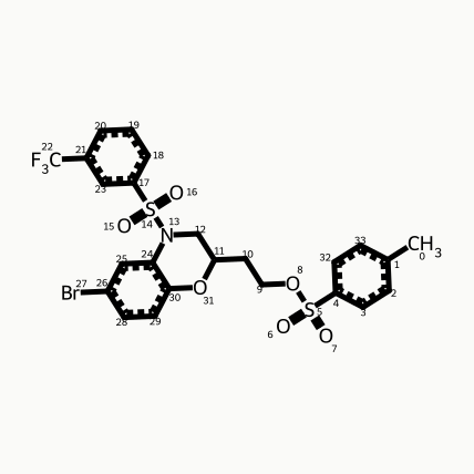 Cc1ccc(S(=O)(=O)OCCC2CN(S(=O)(=O)c3cccc(C(F)(F)F)c3)c3cc(Br)ccc3O2)cc1